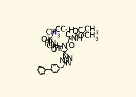 CC[C@]1(C(=O)O)/C=C\CCCC[C@H](NC(=O)OC(C)(C)C)C(=O)N2C[C@H](n3nnc(Cc4ccc(-c5ccccc5)cc4)n3)C[C@H]2C(=O)N1